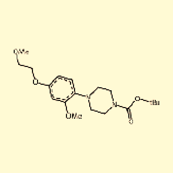 COCCOc1ccc(N2CCN(C(=O)OC(C)(C)C)CC2)c(OC)c1